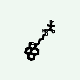 CC(C)(Br)C(=O)NOCCCCc1ccc2ccc3cccc4ccc1c2c34